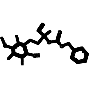 C=CC(C)(CCc1c(C)c(OC)c(C)c(C)c1O)OC(=O)OCc1ccccc1